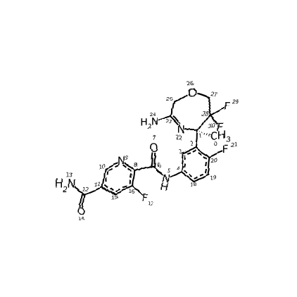 C[C@]1(c2cc(NC(=O)c3ncc(C(N)=O)cc3F)ccc2F)N=C(N)COCC1(F)F